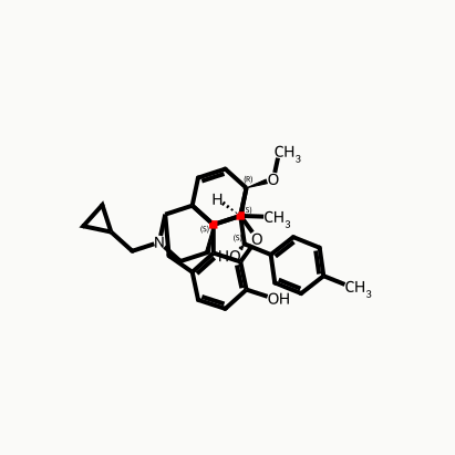 CO[C@]12C=CC3(CC1(C)[C@@H](O)c1ccc(C)cc1)C1Cc4ccc(O)c5c4[C@@]3(CCN1CC1CC1)[C@@H]2O5